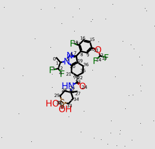 CC(C(F)F)n1nc(-c2cc(OC(F)F)ccc2F)c2c1C[C@H](C(=O)NC1(C)CCS(O)(O)CC1)CC2